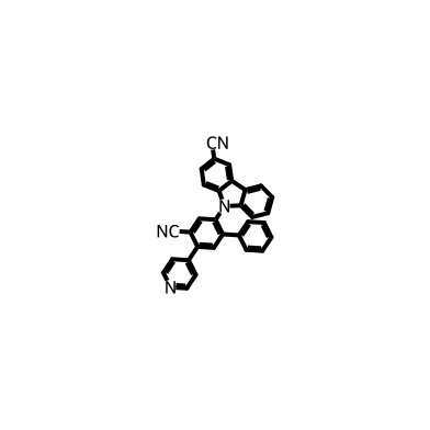 N#Cc1ccc2c(c1)c1ccccc1n2-c1cc(C#N)c(-c2ccncc2)cc1-c1ccccc1